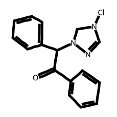 O=C(c1ccccc1)C(c1ccccc1)N1CN(Cl)C=N1